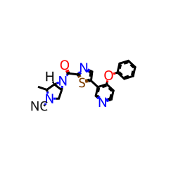 CC1[C@H]2C(CN1C#N)N2C(=O)c1ncc(-c2cnccc2Oc2ccccc2)s1